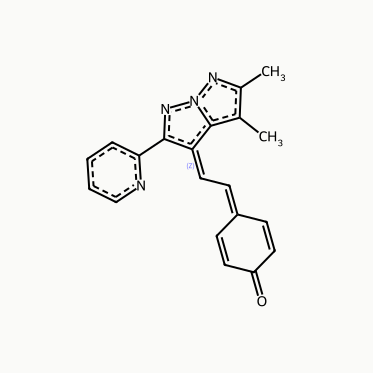 Cc1nn2nc(-c3ccccn3)/c(=C/C=C3C=CC(=O)C=C3)c2c1C